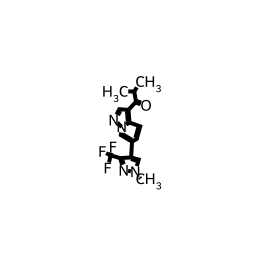 CC(C)C(=O)c1cnn2cc(-c3cn(C)nc3C(F)(F)F)ccc12